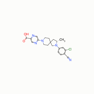 C[C@H]1CC2(CCN(c3cnc(C(=O)O)cn3)CC2)CN1c1ccc(C#N)c(Cl)c1